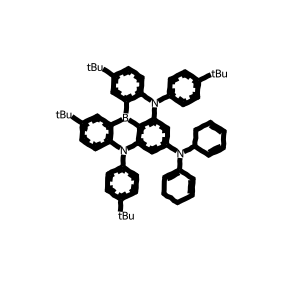 CC(C)(C)c1ccc(N2c3ccc(C(C)(C)C)cc3B3c4cc(C(C)(C)C)ccc4N(c4ccc(C(C)(C)C)cc4)c4cc(N(C5=CCCC=C5)C5C=CC=CC5)cc2c43)cc1